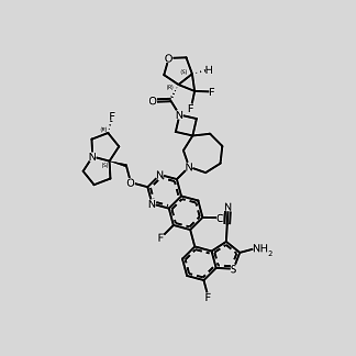 N#Cc1c(N)sc2c(F)ccc(-c3c(Cl)cc4c(N5CCCCC6(CN(C(=O)[C@]78COC[C@H]7C8(F)F)C6)C5)nc(OC[C@@]56CCCN5C[C@H](F)C6)nc4c3F)c12